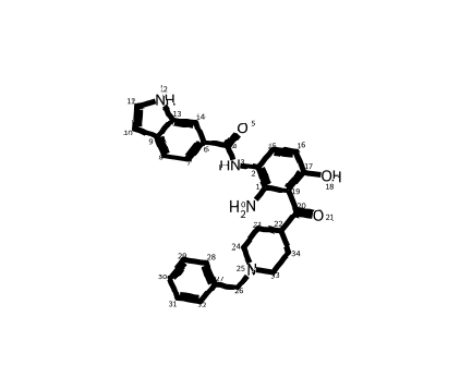 Nc1c(NC(=O)c2ccc3cc[nH]c3c2)ccc(O)c1C(=O)C1CCN(Cc2ccccc2)CC1